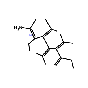 C=C(CC)C(=C(C)C)C(=C(C)C)C(=C(C)C)/C(CC)=C(\C)N